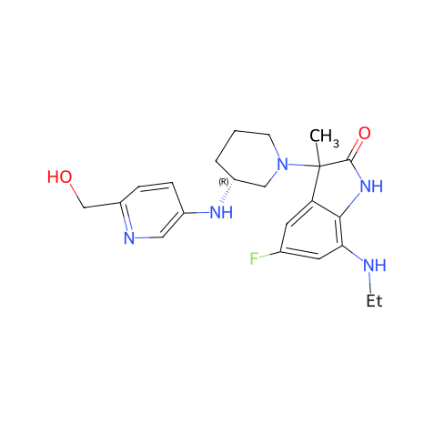 CCNc1cc(F)cc2c1NC(=O)C2(C)N1CCC[C@@H](Nc2ccc(CO)nc2)C1